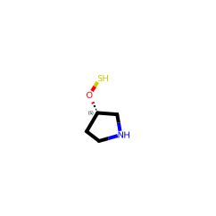 SO[C@H]1CCNC1